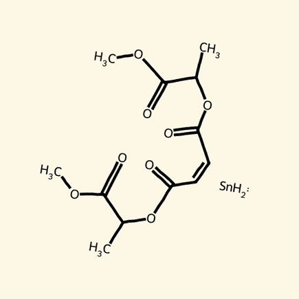 COC(=O)C(C)OC(=O)/C=C\C(=O)OC(C)C(=O)OC.[SnH2]